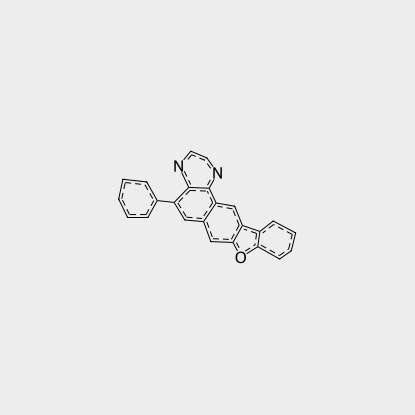 c1ccc(-c2cc3cc4oc5ccccc5c4cc3c3nccnc23)cc1